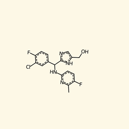 Cc1nc(NC(c2ccc(F)c(Cl)c2)c2ncc(CO)[nH]2)ccc1F